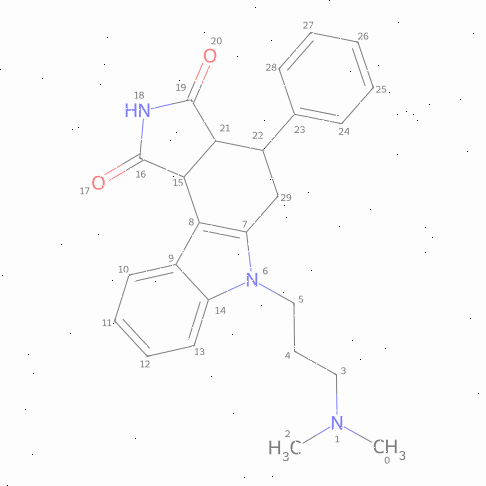 CN(C)CCCn1c2c(c3ccccc31)C1C(=O)NC(=O)C1C(c1ccccc1)C2